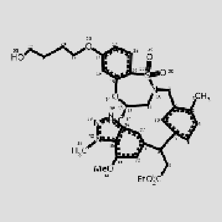 CCOC(=O)CC(c1ccc(C)c(CN2C[C@@H](C)Oc3cc(OCCCCO)ccc3S2(=O)=O)c1)c1cc(OC)c2c(c1)nnn2C